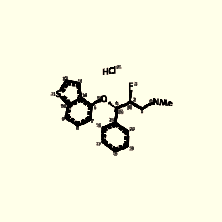 CNC[C@H](F)[C@@H](Oc1cccc2sccc12)c1ccccc1.Cl